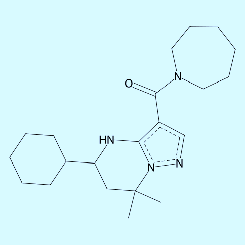 CC1(C)CC(C2CCCCC2)Nc2c(C(=O)N3CCCCCC3)cnn21